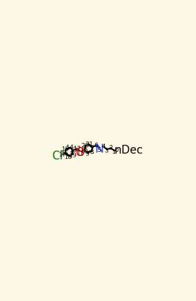 CCCCCCCCCCCCCC/N=C/c1ccc(OCc2ccc(Cl)cc2)cc1